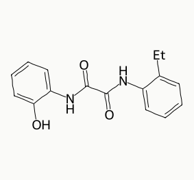 CCc1ccccc1NC(=O)C(=O)Nc1ccccc1O